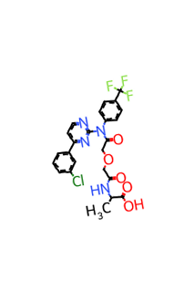 CC(NC(=O)COCC(=O)N(c1ccc(C(F)(F)F)cc1)c1nccc(-c2cccc(Cl)c2)n1)C(=O)O